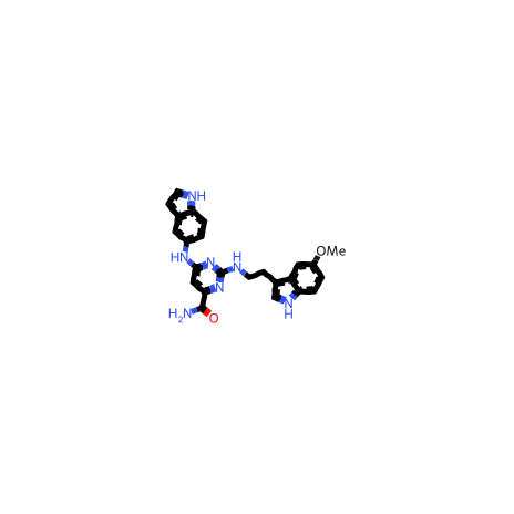 COc1ccc2[nH]cc(CCNc3nc(Nc4ccc5[nH]ccc5c4)cc(C(N)=O)n3)c2c1